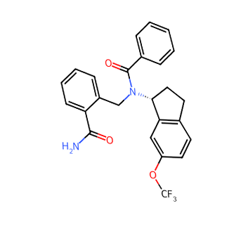 NC(=O)c1ccccc1CN(C(=O)c1ccccc1)[C@@H]1CCc2ccc(OC(F)(F)F)cc21